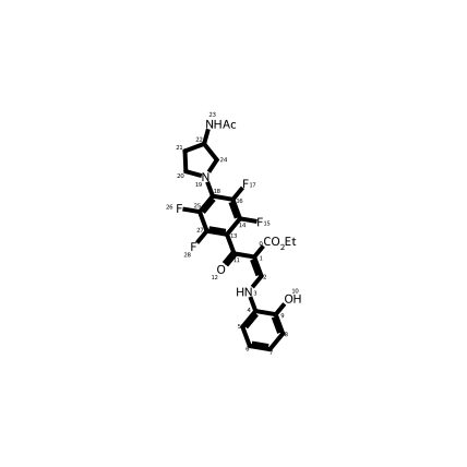 CCOC(=O)C(=CNc1ccccc1O)C(=O)c1c(F)c(F)c(N2CCC(NC(C)=O)C2)c(F)c1F